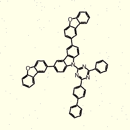 c1ccc(-c2ccc(-c3nc(-c4ccccc4)nc(-n4c5ccc(-c6ccc7oc8ccccc8c7c6)cc5c5cc(-c6ccc7oc8ccccc8c7c6)ccc54)n3)cc2)cc1